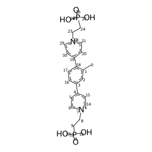 Cc1cc(-c2cc[n+](CCP(=O)(O)O)cc2)ccc1-c1cc[n+](CCP(=O)(O)O)cc1